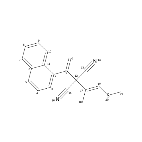 C=C(c1cccc2ccccc12)C(C#N)(C#N)/C(C)=C/SC